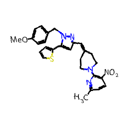 COc1ccc(Cn2nc(C=C3CCN(c4nc(C)ccc4[N+](=O)[O-])CC3)cc2-c2cccs2)cc1